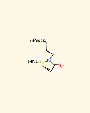 CCCCCCCCn1sccc1=O.[NaH]